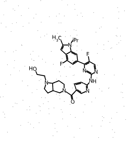 Cc1cc2c(F)cc(-c3nc(Nc4ccc(C(=O)N5CCC6C(CCN6CCO)C5)cn4)ncc3F)cc2n1C(C)C